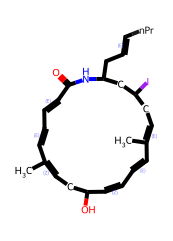 CCC/C=C/CC1CC(I)C/C=C(C)/C=C/C=C\C(O)C\C=C(C)/C=C/C=C/C(=O)N1